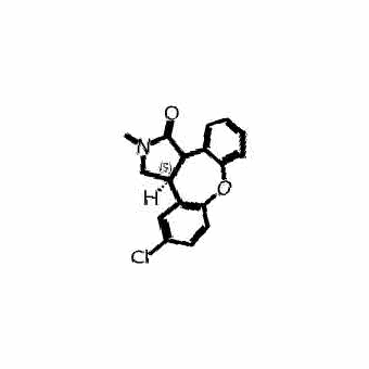 CN1C[C@@H]2c3cc(Cl)ccc3Oc3ccccc3C2C1=O